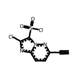 C#Cc1ccc2nc(Cl)c(S(=O)(=O)Cl)n2n1